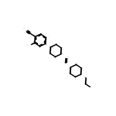 CCC[C@H]1CC[C@H](/C=C/[C@H]2CC[C@H](c3ccc(C#N)c(F)c3)CC2)CC1